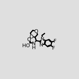 CCn1c(C(NC(=O)O)C2COCCO2)nc2cc(F)c(F)cc21